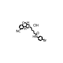 Cl.N#Cc1ccc2c(c1)[C@@H]1CN(CCCCC(=O)Nc3ccc(Br)cc3)C[C@H]1CO2